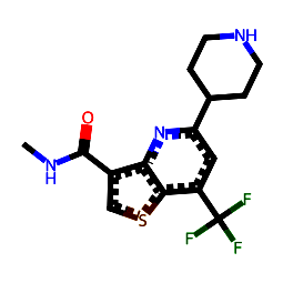 CNC(=O)c1csc2c(C(F)(F)F)cc(C3CCNCC3)nc12